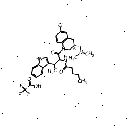 CCCCC(=O)NC(C(=O)N1C[C@@H](CN(C)C)Cc2cc(Cl)ccc21)C(C)c1c[nH]c2ccccc12.O=C(O)C(F)(F)F